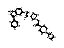 O=C(Nc1ccc2[nH]nc(-c3ccccc3)c2c1)[C@@H]1CCN(CC(=O)N2CCN(c3nccs3)CC2)C1